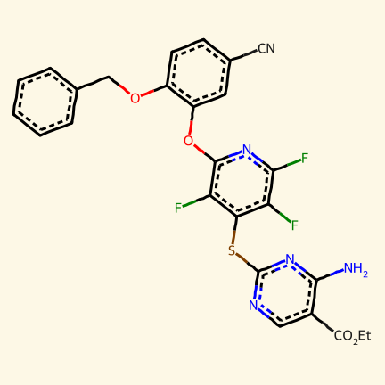 CCOC(=O)c1cnc(Sc2c(F)c(F)nc(Oc3cc(C#N)ccc3OCc3ccccc3)c2F)nc1N